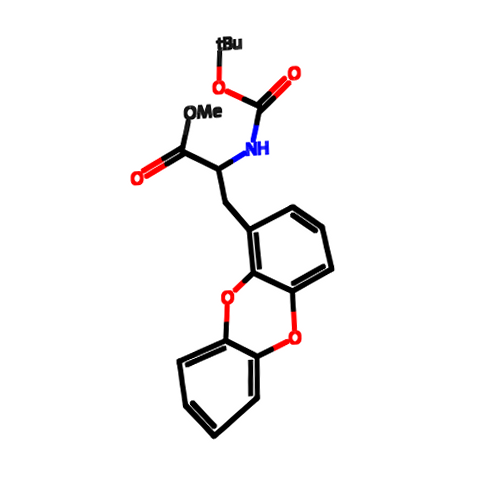 COC(=O)C(Cc1cccc2c1Oc1ccccc1O2)NC(=O)OC(C)(C)C